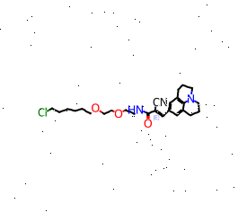 N#C/C(=C\c1cc2c3c(c1)CCCN3CCC2)C(=O)NCCOCCOCCCCCCCl